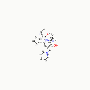 C/C=C(\C(=O)N1C=CC(CN2CCCCC2)=C(O)/C1=C(\C)CC)C1CCCC1